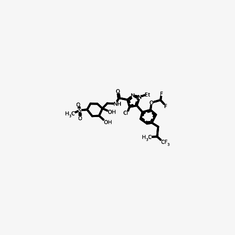 CCn1nc(C(=O)NCC2(O)CCC(S(C)(=O)=O)CC2O)c(Cl)c1-c1ccc(CC(C)C(F)(F)F)cc1OC(F)F